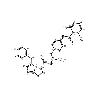 O=C(Nc1ccc(C[C@H](NC(=O)[C@@H]2CCc3nnc(Cc4ccccc4)n32)C(=O)O)cc1)c1c(Cl)cccc1Cl